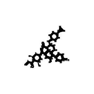 C=CC(=O)N1[C@H](C)CN(c2nc(=O)n3c4c(c(-c5ccc(F)cc5)c(C)cc24)SC[C@@H]3CN2CCN(C3CC3)CC2)C[C@@H]1C